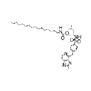 CCCCCCCCCCCCCCCCNC(=O)OC[C@H](CC(C)C)NS(=O)(=O)c1ccc(Cc2nccc3c2nc(C)n3C)cc1